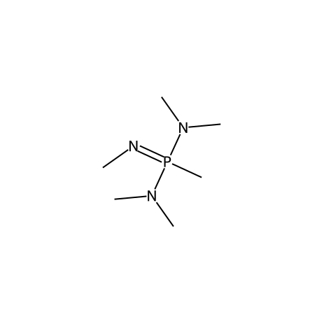 CN=P(C)(N(C)C)N(C)C